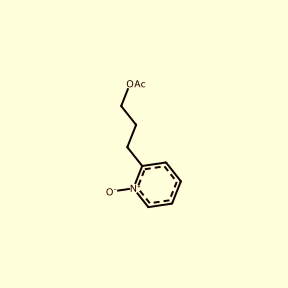 CC(=O)OCCCc1cccc[n+]1[O-]